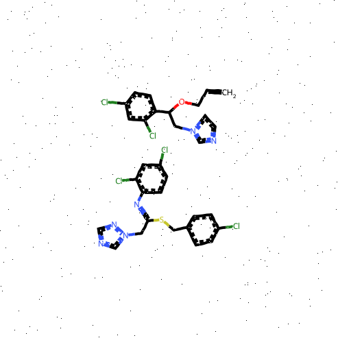 C=CCOC(Cn1ccnc1)c1ccc(Cl)cc1Cl.Clc1ccc(CS/C(Cn2cncn2)=N\c2ccc(Cl)cc2Cl)cc1